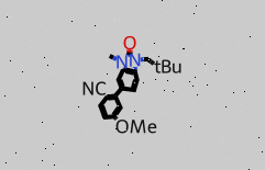 COc1ccc(C#N)c(-c2ccc3c(c2)n(C)c(=O)n3CC(C)(C)C)c1